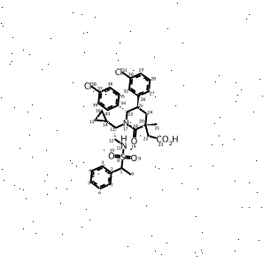 CC(c1ccccc1)S(=O)(=O)NC[C@H](C1CC1)N1C(=O)[C@@](C)(CC(=O)O)C[C@H](c2cccc(Cl)c2)[C@H]1c1ccc(Cl)cc1